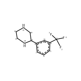 FC(F)(F)c1cccc(C2CNCCN2)c1